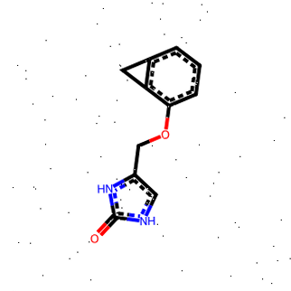 O=c1[nH]cc(COc2cccc3c2C3)[nH]1